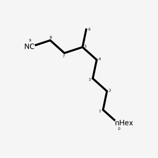 CCCCCCCCCCC(C)CCC#N